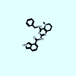 CN1CCCc2nc(NC(=O)c3cccc4c[nH]cc34)nc(NCc3ccccc3)c21